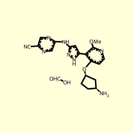 COc1nccc(O[C@@H]2CC[C@H](N)C2)c1-c1cc(Nc2cnc(C#N)cn2)n[nH]1.O=CO